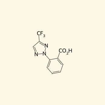 O=C(O)c1ccccc1-n1ncc(C(F)(F)F)n1